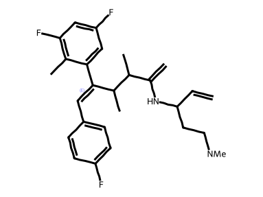 C=CC(CCNC)NC(=C)C(C)C(C)/C(=C\c1ccc(F)cc1)c1cc(F)cc(F)c1C